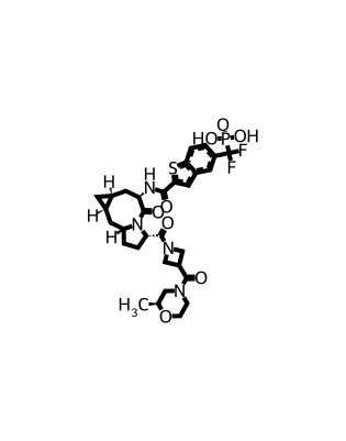 C[C@H]1CN(C(=O)C2CN(C(=O)[C@@H]3CC[C@@H]4C[C@H]5C[C@H]5C[C@H](NC(=O)c5cc6cc(C(F)(F)P(=O)(O)O)ccc6s5)C(=O)N43)C2)CCO1